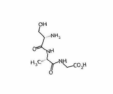 C[C@H](NC(=O)[C@@H](N)CO)C(=O)NCC(=O)O